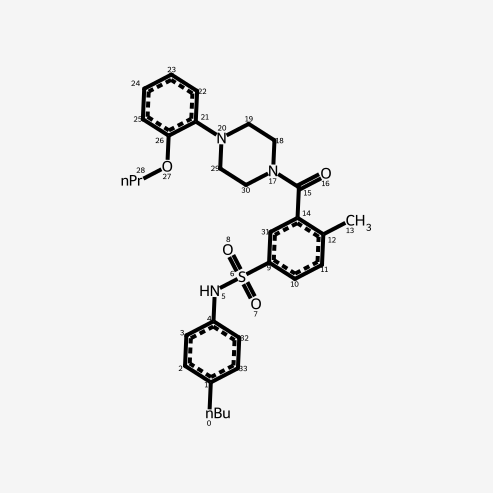 CCCCc1ccc(NS(=O)(=O)c2ccc(C)c(C(=O)N3CCN(c4ccccc4OCCC)CC3)c2)cc1